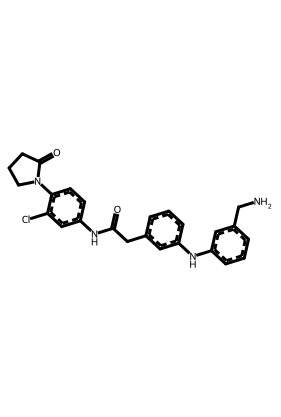 NCc1cccc(Nc2cccc(CC(=O)Nc3ccc(N4CCCC4=O)c(Cl)c3)c2)c1